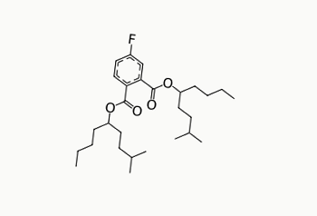 CCCCC(CCC(C)C)OC(=O)c1ccc(F)cc1C(=O)OC(CCCC)CCC(C)C